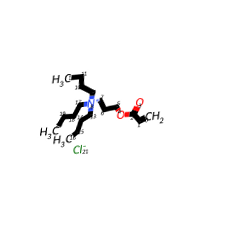 C=CC(=O)OCCC[N+](CCCC)(CCCC)CCCC.[Cl-]